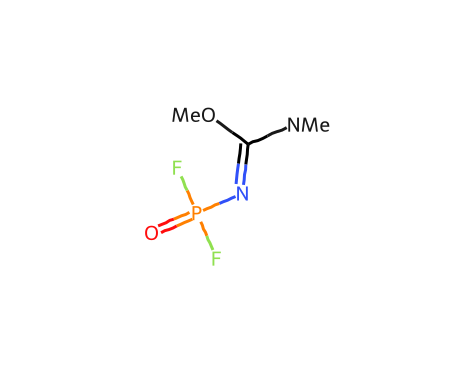 CNC(=NP(=O)(F)F)OC